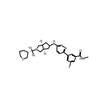 [2H]C([2H])([C@H]1CCCOC1)N1C[C@H]2CC(Nc3ccc(-c4cc(F)cc(C(=O)NC)c4)nn3)C[C@H]2C1